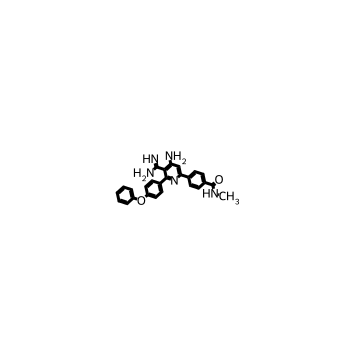 CNC(=O)c1ccc(-c2cc(N)c(C(=N)N)c(-c3ccc(Oc4ccccc4)cc3)n2)cc1